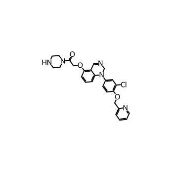 O=C(COc1cccc2c1C=NCN2c1ccc(OCc2ccccn2)c(Cl)c1)N1CCNCC1